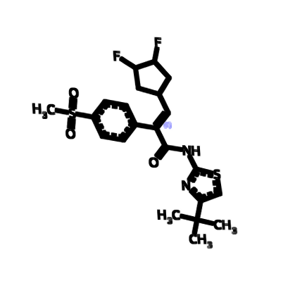 CC(C)(C)c1csc(NC(=O)/C(=C/C2CC(F)C(F)C2)c2ccc(S(C)(=O)=O)cc2)n1